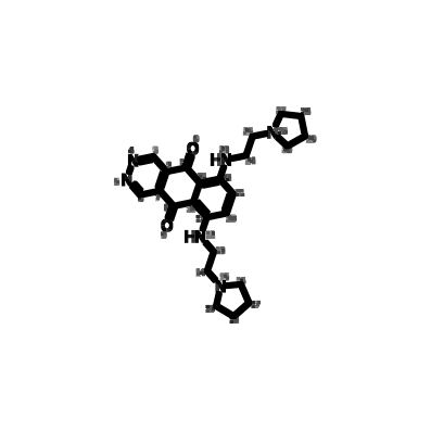 O=C1c2cnncc2C(=O)c2c(NCCN3CCCC3)ccc(NCCN3CCCC3)c21